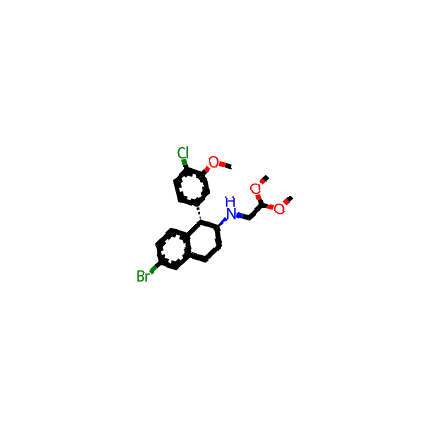 COc1cc([C@H]2c3ccc(Br)cc3CC[C@@H]2NCC(OC)OC)ccc1Cl